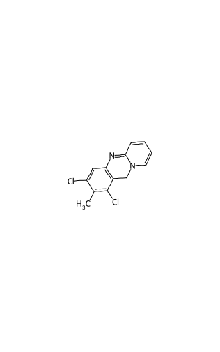 Cc1c(Cl)cc2c(c1Cl)CN1C=CC=CC1=N2